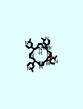 Cc1cc(C2=C3C=CC(Br)(N3)C(Br)(c3ccnc(C)c3)C3=NC(Br)(C=C3)C(Br)(c3ccnc(C)c3)c3ccc([nH]3)C(c3ccnc(C)c3)=C3C=CC2=N3)ccn1